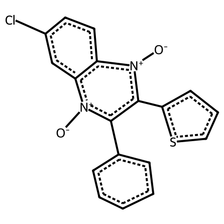 [O-][n+]1c(-c2ccccc2)c(-c2cccs2)[n+]([O-])c2ccc(Cl)cc21